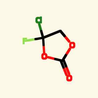 O=C1OCC(F)(Cl)O1